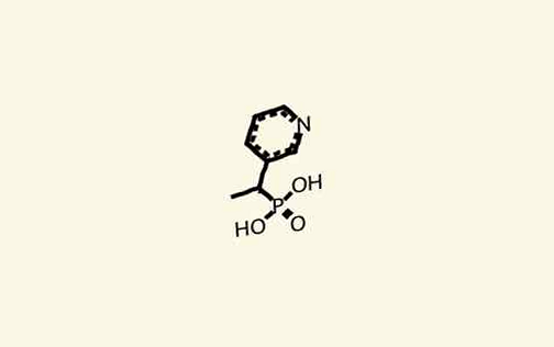 C[C](c1cccnc1)P(=O)(O)O